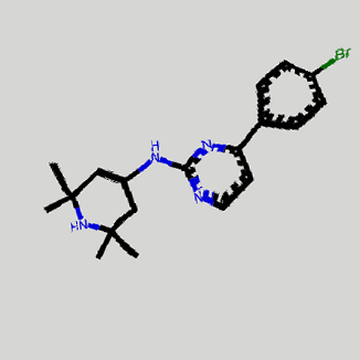 CC1(C)CC(Nc2nccc(-c3ccc(Br)cc3)n2)CC(C)(C)N1